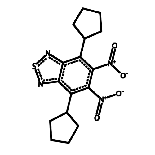 O=[N+]([O-])c1c([N+](=O)[O-])c(C2CCCC2)c2nsnc2c1C1CCCC1